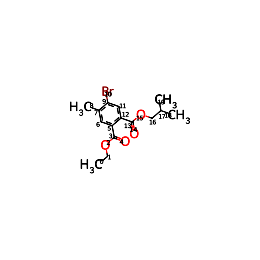 CCOC(=O)c1cc(C)c(Br)cc1C(=O)OCC(C)C